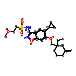 C=C1CCCC(CC)(COc2cc3onc(NS(=O)(=O)CCOC)c3cc2C2CC2)C1